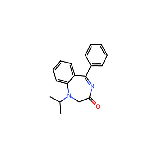 CC(C)N1CC(=O)N=C(c2ccccc2)c2ccccc21